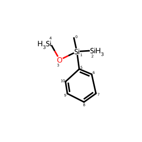 C[Si]([SiH3])(O[SiH3])c1ccccc1